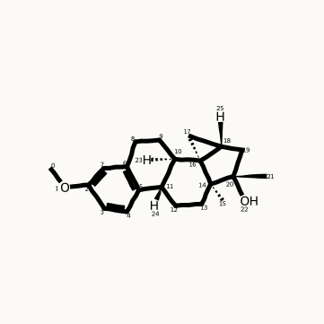 COc1ccc2c(c1)CC[C@@H]1[C@@H]2CC[C@@]2(C)[C@@]13C[C@@H]3C[C@]2(C)O